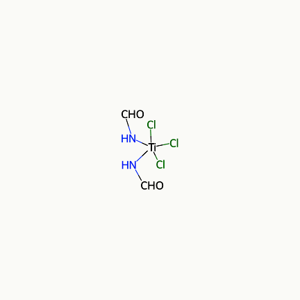 O=C[NH][Ti]([Cl])([Cl])([Cl])[NH]C=O